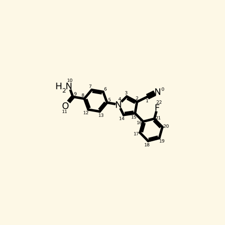 N#Cc1cn(-c2ccc(C(N)=O)cc2)cc1-c1ccccc1F